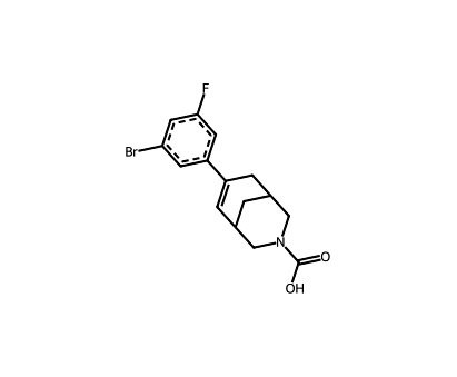 O=C(O)N1CC2C=C(c3cc(F)cc(Br)c3)CC(C2)C1